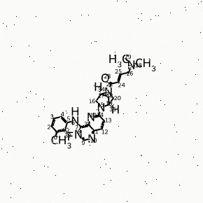 Cc1cccc(Nc2ncnc3ccc(N4C[C@@H]5C[C@H]4CN5C(=O)/C=C/CN(C)C)nc23)c1F